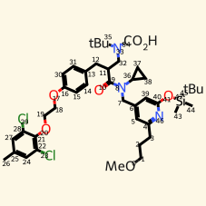 COCCCc1cc(CN(C(=O)C(Cc2ccc(OCCOc3c(Cl)cc(C)cc3Cl)cc2)CN(C(=O)O)C(C)(C)C)C2CC2)cc(O[Si](C)(C)C(C)(C)C)n1